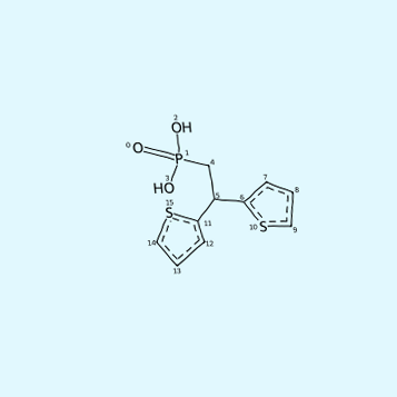 O=P(O)(O)CC(c1cccs1)c1cccs1